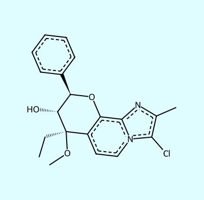 CC[C@@]1(OC)c2ccn3c(Cl)c(C)nc3c2O[C@H](c2ccccc2)[C@H]1O